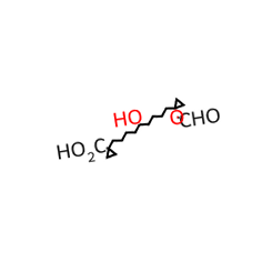 O=COC1(CCCCC(O)CCCCC2(C(=O)O)CC2)CC1